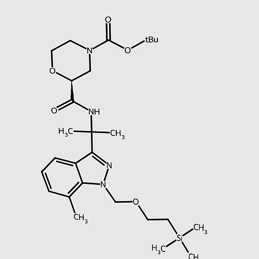 Cc1cccc2c(C(C)(C)NC(=O)[C@@H]3CN(C(=O)OC(C)(C)C)CCO3)nn(COCC[Si](C)(C)C)c12